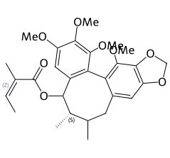 C/C=C(/C)C(=O)OC1c2cc(OC)c(OC)c(OC)c2-c2c(cc3c(c2OC)OCO3)CC(C)[C@@H]1C